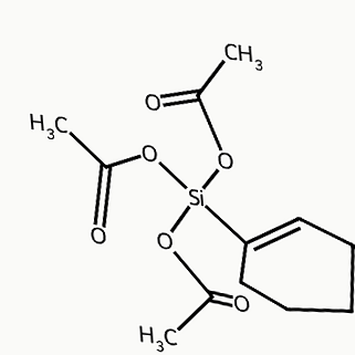 CC(=O)O[Si](OC(C)=O)(OC(C)=O)C1=CCCCC1